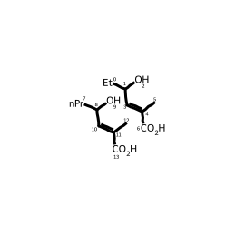 CCC(O)C=C(C)C(=O)O.CCCC(O)C=C(C)C(=O)O